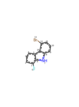 Fc1cccc2c1[nH]c1cccc(Br)c12